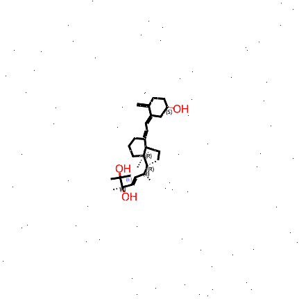 C=C1CC[C@H](O)CC1=CC=C1CCC[C@@]2(C)C1CC[C@@H]2[C@H](C)/C=C/[C@@](C)(O)C(C)(C)O